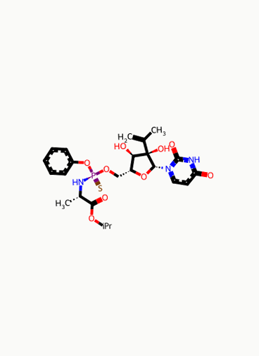 C=C(C)[C@@]1(O)[C@H](O)[C@@H](CO[P@@](=S)(N[C@@H](C)C(=O)OC(C)C)Oc2ccccc2)O[C@H]1n1ccc(=O)[nH]c1=O